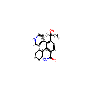 CC(O)(c1ccc(C(N)=O)c(C2CCCCC2)c1-c1ccncc1)C(F)(F)F